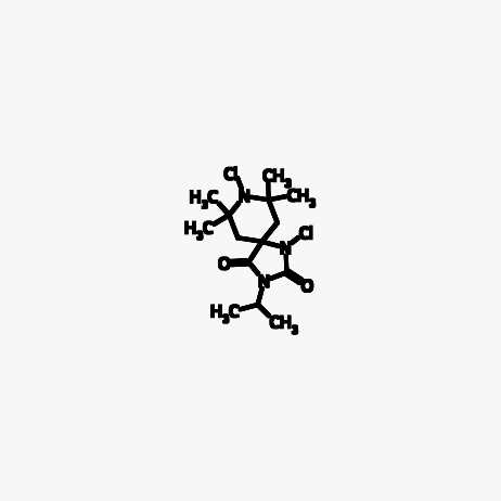 CC(C)N1C(=O)N(Cl)C2(CC(C)(C)N(Cl)C(C)(C)C2)C1=O